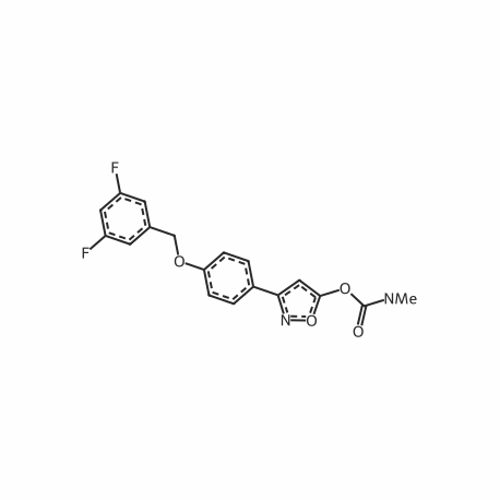 CNC(=O)Oc1cc(-c2ccc(OCc3cc(F)cc(F)c3)cc2)no1